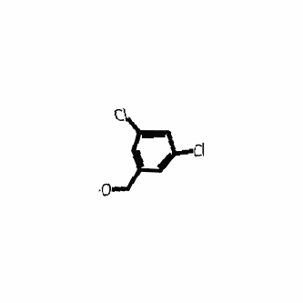 [O]Cc1cc(Cl)cc(Cl)c1